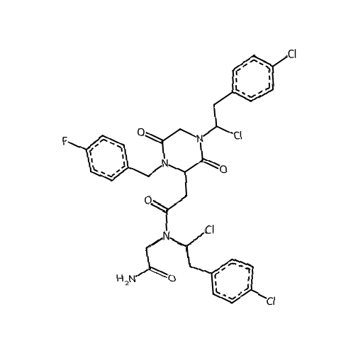 NC(=O)CN(C(=O)CC1C(=O)N(C(Cl)Cc2ccc(Cl)cc2)CC(=O)N1Cc1ccc(F)cc1)C(Cl)Cc1ccc(Cl)cc1